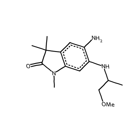 COCC(C)Nc1cc2c(cc1N)C(C)(C)C(=O)N2C